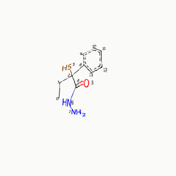 CCC(S)(C(=O)NN)c1ccccc1